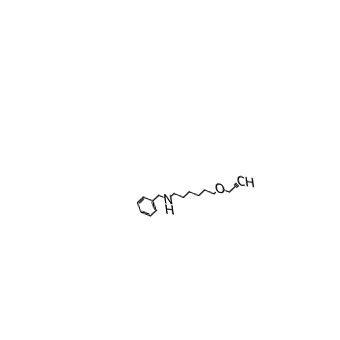 C#CCOCCCCCCNCc1ccccc1